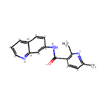 Cc1nc(C(F)(F)F)ccc1C(=O)Nc1ccc2cccnc2c1